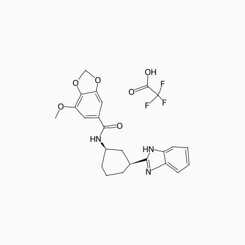 COc1cc(C(=O)N[C@@H]2CCC[C@H](c3nc4ccccc4[nH]3)C2)cc2c1OCO2.O=C(O)C(F)(F)F